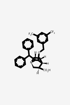 O=C(O)[C@H]1C[N@@]2CC[C@H]1[C@@H](OCc1cc(C(F)(F)F)cc(C(F)(F)F)c1)[C@H]2C(c1ccccc1)c1ccccc1